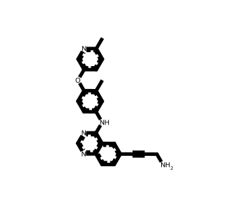 Cc1ccc(Oc2ccc(Nc3ncnc4ccc(C#CCN)cc34)cc2C)cn1